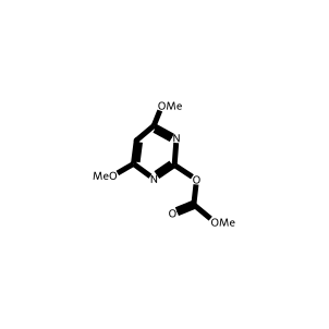 COC(=O)Oc1nc(OC)cc(OC)n1